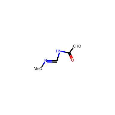 CON=CNC(=O)C=O